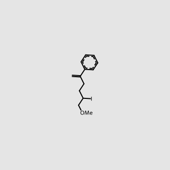 C=C(CCC(I)COC)c1ccccc1